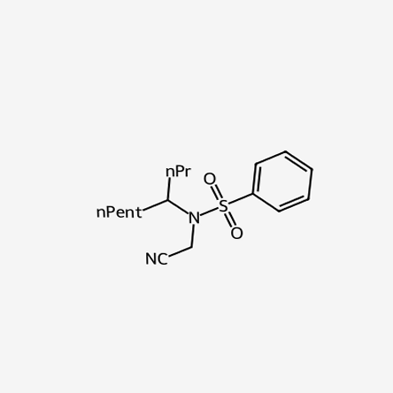 CCCCCC(CCC)N(CC#N)S(=O)(=O)c1ccccc1